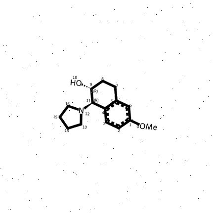 COc1ccc2c(c1)CC[C@@H](O)[C@@H]2N1CCCC1